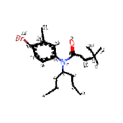 CCCC(CCC)N(C(=O)CC(C)(C)C)c1ccc(Br)c(C)c1